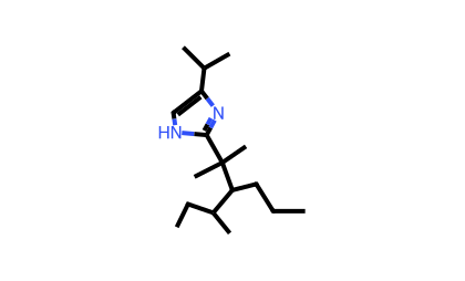 CCCC(C(C)CC)C(C)(C)c1nc(C(C)C)c[nH]1